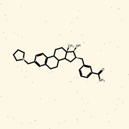 C[C@]12CCC3c4ccc(CN5CCCC5)cc4CCC3C1C[C@H](Cc1cccc(C(N)=O)c1)[C@@H]2O